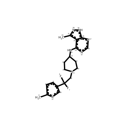 Cc1ccc(C(F)(F)CN2CCC(Nc3ncnc4[nH]nc(C)c34)CC2)cn1